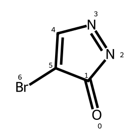 O=C1N=NC=C1Br